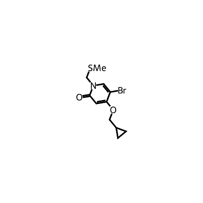 CSCn1cc(Br)c(OCC2CC2)cc1=O